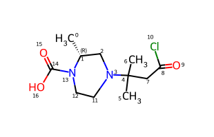 C[C@@H]1CN(C(C)(C)CC(=O)Cl)CCN1C(=O)O